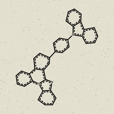 c1ccc2c(c1)nc1c3cc(-c4ccc(-n5c6ccccc6c6ccccc65)cc4)ccc3c3ccccc3n21